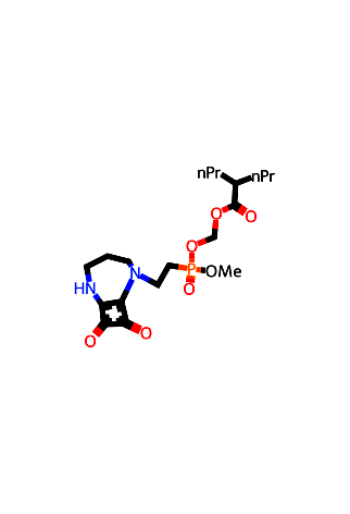 [CH2]OP(=O)(CCN1CCCNc2c1c(=O)c2=O)OCOC(=O)C(CCC)CCC